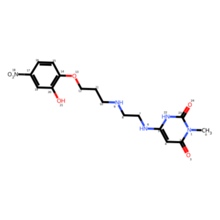 Cn1c(=O)cc(NCCNCCCOc2ccc([N+](=O)[O-])cc2O)[nH]c1=O